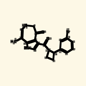 CC1=CNCC(=O)c2c(C(=O)N3CCC3c3cccc(Br)c3)c[nH]c21